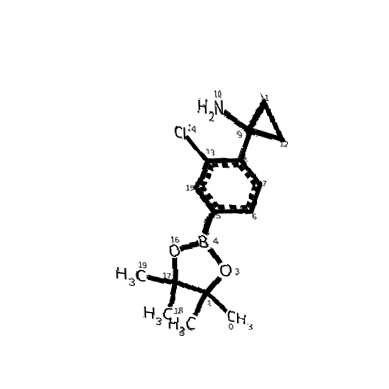 CC1(C)OB(c2ccc(C3(N)CC3)c(Cl)c2)OC1(C)C